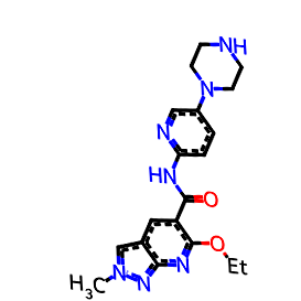 CCOc1nc2nn(C)cc2cc1C(=O)Nc1ccc(N2CCNCC2)cn1